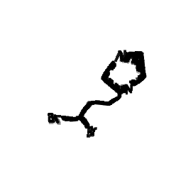 BrC(Br)CCc1cnccn1